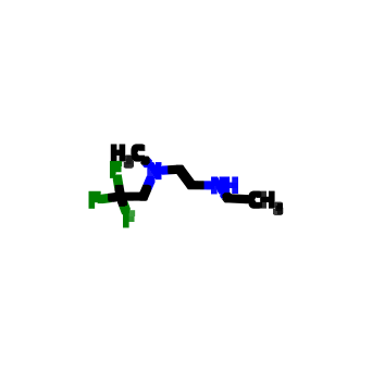 CCNCCN(C)CC(F)(F)F